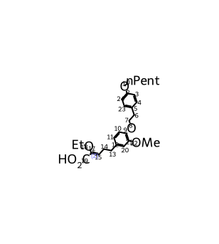 CCCCCOc1ccc(CCOc2ccc(CC/C=C(\OCC)C(=O)O)cc2OC)cc1